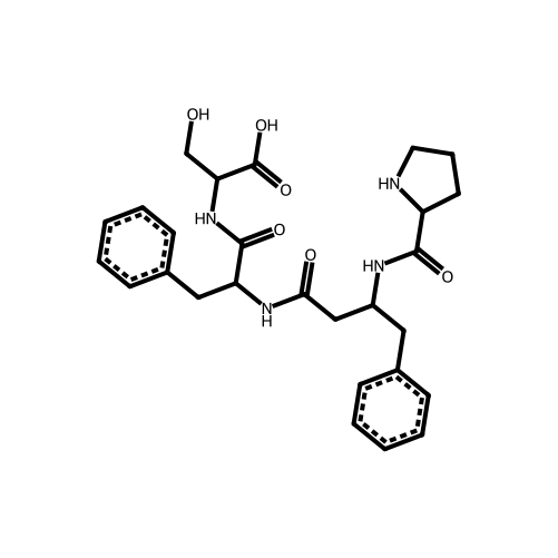 O=C(CC(Cc1ccccc1)NC(=O)C1CCCN1)NC(Cc1ccccc1)C(=O)NC(CO)C(=O)O